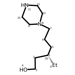 CC[C@H](CCO)CCCN1CCNCC1